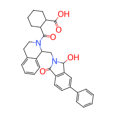 O=C(O)C1CCCCC1C(=O)N1CCc2ccccc2C1CN1C(=O)c2ccc(-c3ccccc3)cc2C1O